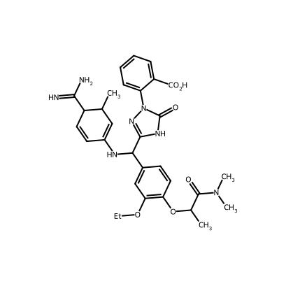 CCOc1cc(C(NC2=CC(C)C(C(=N)N)C=C2)c2nn(-c3ccccc3C(=O)O)c(=O)[nH]2)ccc1OC(C)C(=O)N(C)C